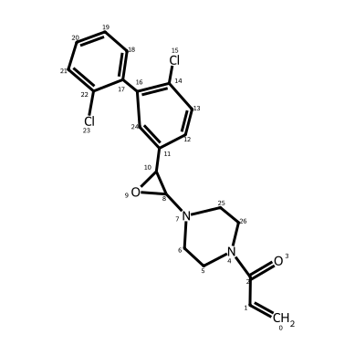 C=CC(=O)N1CCN(C2OC2c2ccc(Cl)c(-c3ccccc3Cl)c2)CC1